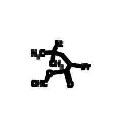 CCC(C)(C)CC(C(=O)OC=O)C(C)C